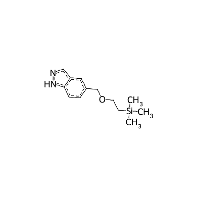 C[Si](C)(C)CCOCc1ccc2[nH]ncc2c1